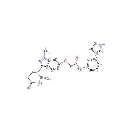 Cn1nc(C2CCC(=O)NC2=O)c2ccc(OCC(=O)Nc3cccc(-n4ccnc4)c3)cc21